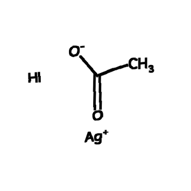 CC(=O)[O-].I.[Ag+]